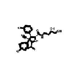 CC(C)[C@@H]1N[C@@H](C(=O)NCC[C@H](O)CO)[C@H](c2cccc(Cl)c2)[C@@]1(C#N)c1ccc(Cl)cc1